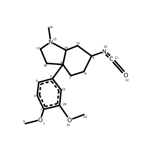 COc1ccc(C23CCC(N=C=O)CC2N(C)CC3)cc1OC